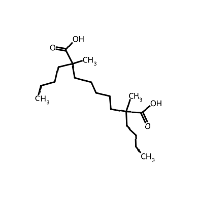 CCCCC(C)(CCCCCC(C)(CCCC)C(=O)O)C(=O)O